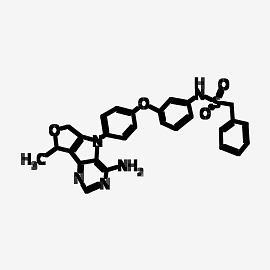 CC1OCc2c1c1ncnc(N)c1n2-c1ccc(Oc2cccc(NS(=O)(=O)Cc3ccccc3)c2)cc1